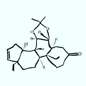 CC1(C)O[C@H]2[C@H](O1)[C@H]1CC(=O)CC[C@]1(C)[C@H]1CC[C@]3(C)C=CC[C@H]3[C@H]21